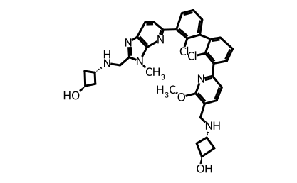 COc1nc(-c2cccc(-c3cccc(-c4ccc5nc(CN[C@H]6C[C@H](O)C6)n(C)c5n4)c3Cl)c2Cl)ccc1CN[C@H]1C[C@H](O)C1